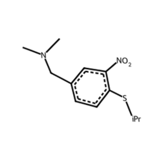 CC(C)Sc1ccc(CN(C)C)cc1[N+](=O)[O-]